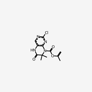 C=C(C)OC(=O)N1c2nc(Cl)ncc2NC(=O)C1(C)C